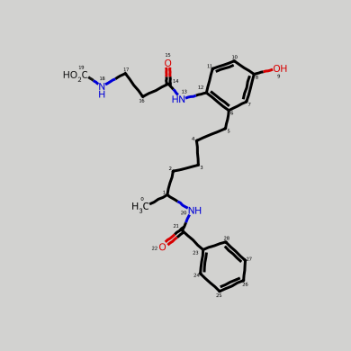 CC(CCCCc1cc(O)ccc1NC(=O)CCNC(=O)O)NC(=O)c1ccccc1